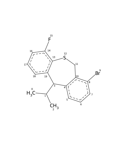 CC(C)C1c2cccc(Br)c2CSc2c(F)cccc21